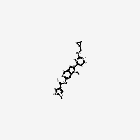 Cn1cc(C(=O)Nc2cc3c(cn2)cc(-c2ccnc(NCC4CC4)n2)n3C)cn1